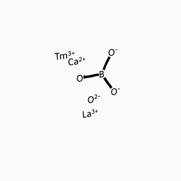 [Ca+2].[La+3].[O-2].[O-]B([O-])[O-].[Tm+3]